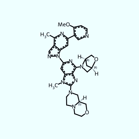 COc1ccncc1-c1cc2c(cnn2-c2cc3c(nc(N4CCN5CCOC[C@@H]5C4)n3C)c(N3C[C@H]4C[C@@H]3CO4)n2)c(C)n1